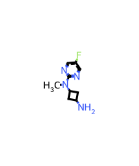 CN(c1ncc(F)cn1)C1CC(N)C1